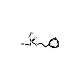 CCC(C)OP(=O)(OCCc1ccccc1)OC(C)CC